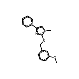 COc1cc[c]c(CSc2nc(-c3ccccc3)cn2C)c1